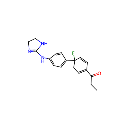 CCC(=O)C1=CCC(F)(c2ccc(NC3=NCCN3)cc2)C=C1